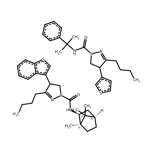 CCCCC1=NN(C(=O)NC(C)(C)c2ccccc2)CC1c1ccsc1.CCCCC1=NN(C(=O)N[C@H]2C[C@H]3CC[C@]2(C)C3(C)C)CC1c1csc2ccccc12